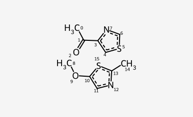 CC(=O)c1cscn1.COc1cnc(C)s1